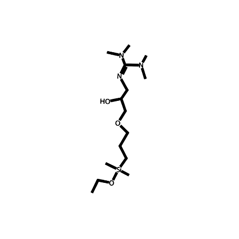 CCO[Si](C)(C)CCCOCC(O)CN=C(N(C)C)N(C)C